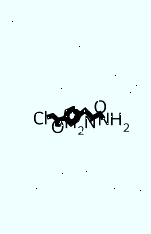 NC(=O)[C@@H](N)Cc1ccc(C(=O)CCl)cc1